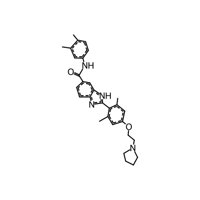 Cc1ccc(NC(=O)c2ccc3nc(-c4c(C)cc(OCCN5CCCC5)cc4C)[nH]c3c2)cc1C